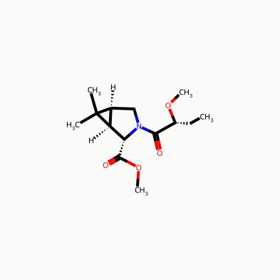 CC[C@@H](OC)C(=O)N1C[C@H]2[C@@H]([C@H]1C(=O)OC)C2(C)C